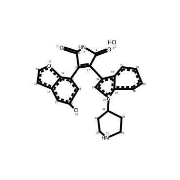 Cl.O=C1NC(=O)C(c2cc(Cl)cc3ccoc23)=C1c1cn(C2CCNCC2)c2ccccc12